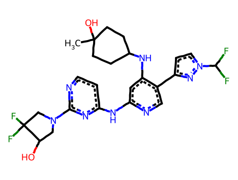 CC1(O)CCC(Nc2cc(Nc3ccnc(N4CC(O)C(F)(F)C4)n3)ncc2-c2ccn(C(F)F)n2)CC1